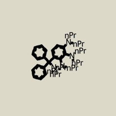 CCCN(CCC)c1ccc(C(c2ccccc2)(c2ccccc2)N(CCC)CCC)c(N(CCC)CCC)c1N(CCC)CCC